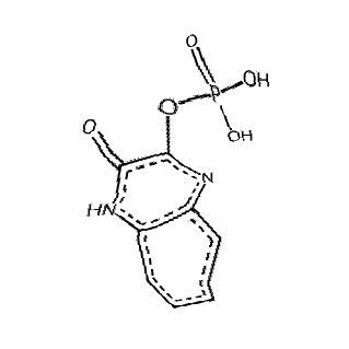 O=c1[nH]c2ccccc2nc1OP(=O)(O)O